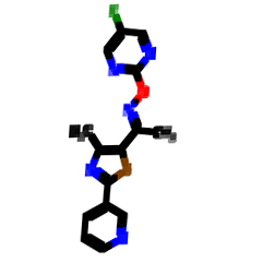 C/C(=N\Oc1ncc(F)cn1)c1sc(-c2cccnc2)nc1C